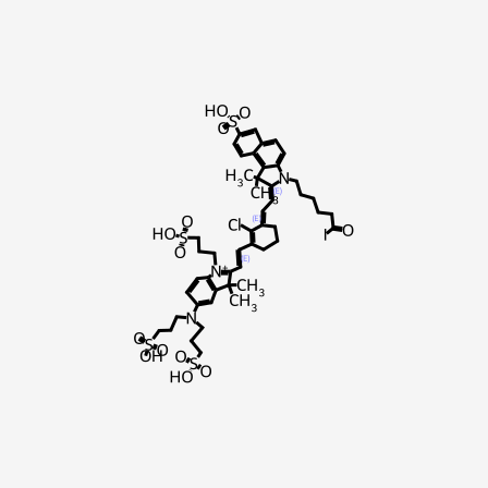 CC1(C)C(/C=C/C2=C(Cl)C(=C/C=C3/N(CCCCCC(=O)I)c4ccc5cc(S(=O)(=O)O)ccc5c4C3(C)C)/CCC2)=[N+](CCCS(=O)(=O)O)c2ccc(N(CCCS(=O)(=O)O)CCCS(=O)(=O)O)cc21